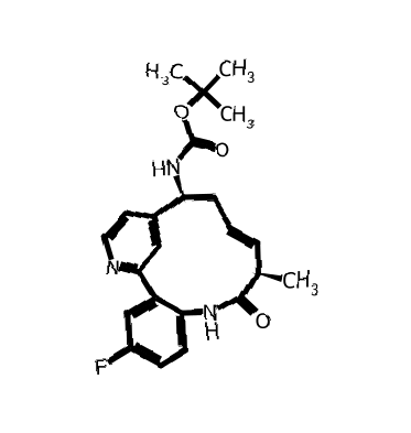 C[C@@H]1/C=C/C[C@H](NC(=O)OC(C)(C)C)c2ccnc(c2)-c2cc(F)ccc2NC1=O